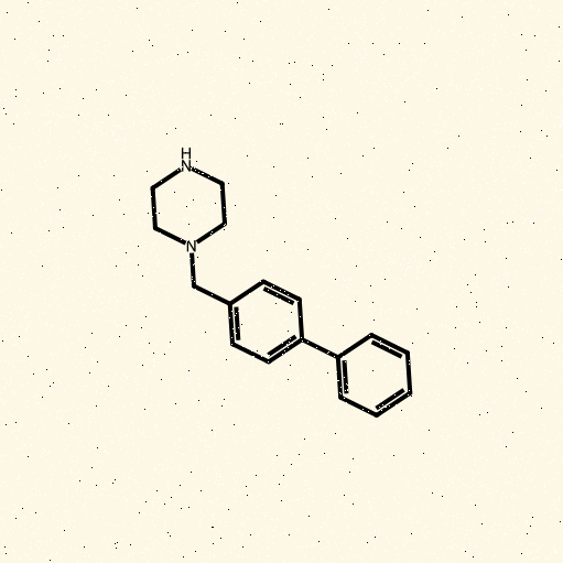 c1ccc(-c2ccc(CN3CCNCC3)cc2)cc1